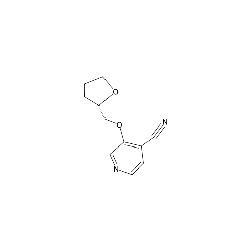 N#Cc1ccncc1OC[C@@H]1CCCO1